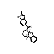 Cc1cc2cc(C(=O)N3CCC[C@H]4c5ccccc5C[C@H]43)ccc2[nH]1